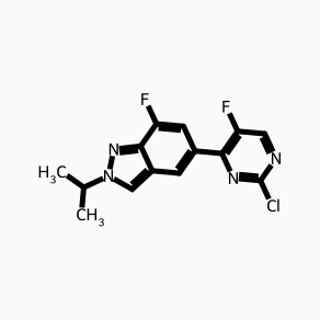 CC(C)n1cc2cc(-c3nc(Cl)ncc3F)cc(F)c2n1